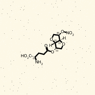 N[C@@H](CCC(=O)O[C@H]1CO[C@H]2[C@H]1OC[C@H]2O[N+](=O)[O-])C(=O)O